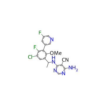 COc1c(C(C)Nc2ncnc(N)c2C#N)cc(Cl)c(F)c1-c1cncc(F)c1